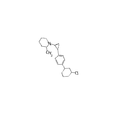 CC1CCCCN1C1CC1c1ccc(C2CCCC(Cl)C2)cc1